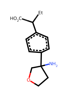 CCC(C(=O)O)c1ccc(C2(N)CCOC2)cc1